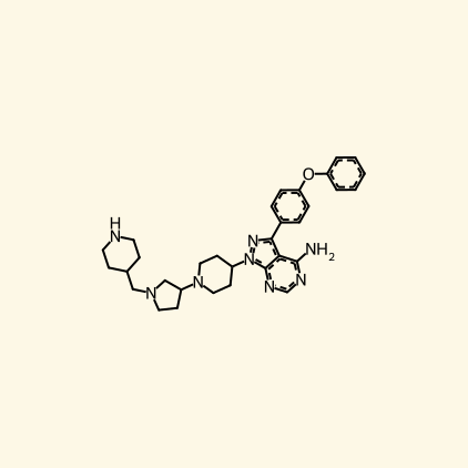 Nc1ncnc2c1c(-c1ccc(Oc3ccccc3)cc1)nn2C1CCN(C2CCN(CC3CCNCC3)C2)CC1